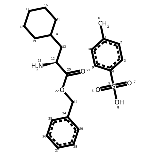 Cc1ccc(S(=O)(=O)O)cc1.N[C@@H](CC1CCCCC1)C(=O)OCc1ccccc1